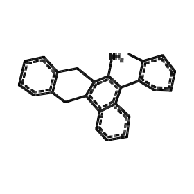 Cc1ccccc1-c1c(N)c2c(c3ccccc13)Cc1ccccc1C2